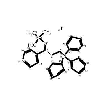 C[Si](C)(C)O[C@H](CC[P+](c1ccccc1)(c1ccccc1)c1ccccc1)c1ccncc1.[I-]